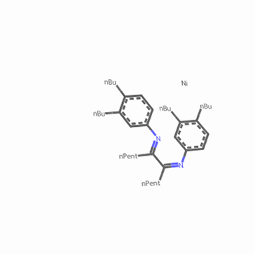 CCCCCC(=Nc1ccc(CCCC)c(CCCC)c1)C(CCCCC)=Nc1ccc(CCCC)c(CCCC)c1.[Ni]